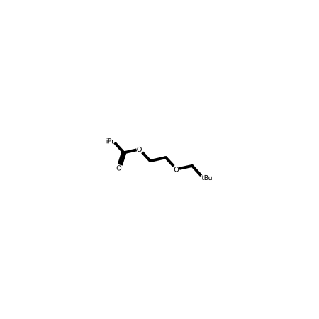 CC(C)C(=O)OCCOCC(C)(C)C